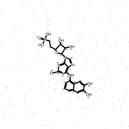 O=P(O)(O)CCC1OC(n2cnc3c(Nc4cccc5cc(O)c(O)cc45)nc(Cl)nc32)C(O)C1O